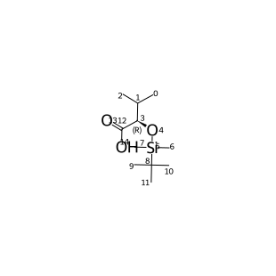 CC(C)[C@@H](O[Si](C)(C)C(C)(C)C)C(=O)O